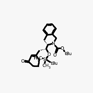 CC(C)(C)OC(=O)N1Cc2ccccc2C[C@H]1[C@@H](CC1=CC(=O)CCC1)O[Si](C)(C)C(C)(C)C